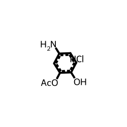 CC(=O)Oc1cc(N)ccc1O.Cl